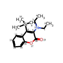 CCN(CC)c1c([Si](C)(C)C)c2ccccc2oc1=O